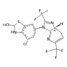 OC1Nc2c(Cl)cc(N3C4=NC(C(F)(F)F)=CC[C@H]4N=C3C(F)(F)F)cc2S1